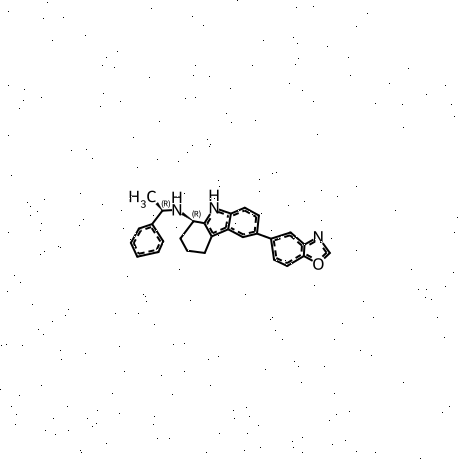 C[C@@H](N[C@@H]1CCCc2c1[nH]c1ccc(-c3ccc4ocnc4c3)cc21)c1ccccc1